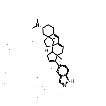 CN(C)[C@@H]1CCC2=CC3=CCC4(C)C(c5ccc6[nH]ncc6c5)=CC[C@H]4[C@@]34CC[C@]2(C1)O4